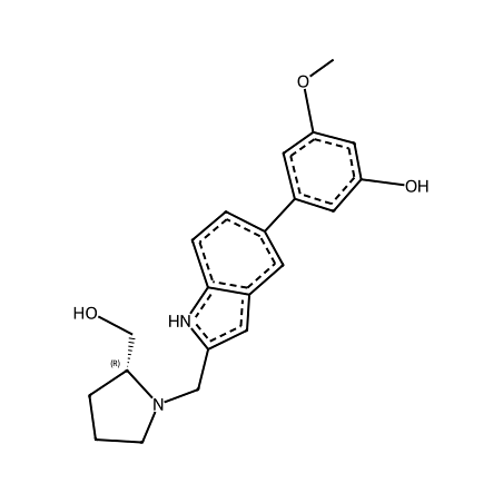 COc1cc(O)cc(-c2ccc3[nH]c(CN4CCC[C@@H]4CO)cc3c2)c1